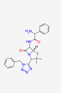 CC1(C)S[C@H]2C(NC(=O)C(N)c3ccccc3)C(=O)N2C1c1nnnn1Cc1ccccc1